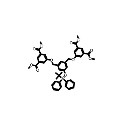 COC(=O)c1cc(OCc2cc(COc3cc(C(=O)OC)cc(C(=O)OC)c3)cc(O[Si](c3ccccc3)(c3ccccc3)C(C)(C)C)c2)cc(C(=O)OC)c1